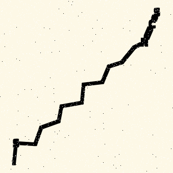 CSCCCCCCCCCCN=C=S